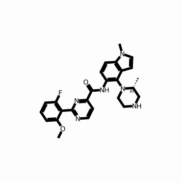 COc1cccc(F)c1-c1nccc(C(=O)Nc2ccc3c(ccn3C)c2N2CCNC[C@H]2C)n1